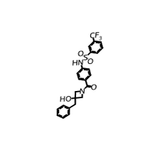 O=C(c1ccc(NS(=O)(=O)c2cccc(C(F)(F)F)c2)cc1)N1CC(O)(Cc2ccccc2)C1